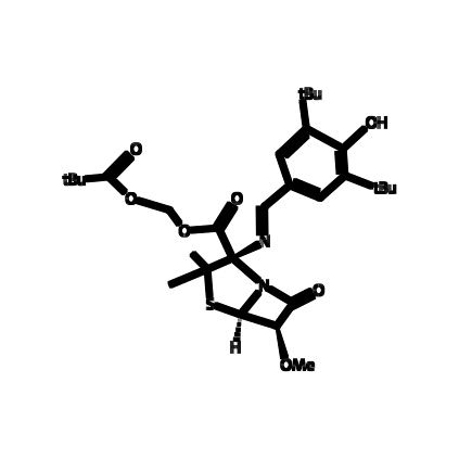 CO[C@@H]1C(=O)N2[C@@H]1SC(C)(C)[C@]2(N=Cc1cc(C(C)(C)C)c(O)c(C(C)(C)C)c1)C(=O)OCOC(=O)C(C)(C)C